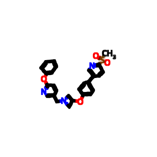 CS(=O)(=O)c1ccc(-c2ccc(OC3CN(Cc4ccc(Oc5ccccc5)nc4)C3)cc2)cn1